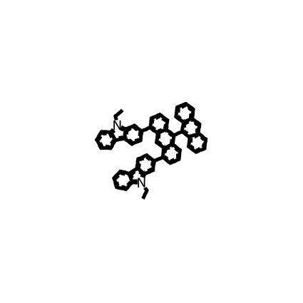 CCn1c2ccccc2c2ccc(-c3cccc4c(-c5c6ccccc6cc6ccccc56)c5cccc(-c6ccc7c8ccccc8n(CC)c7c6)c5cc34)cc21